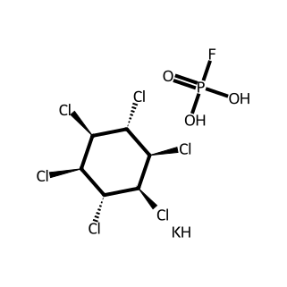 Cl[C@H]1[C@H](Cl)[C@@H](Cl)[C@@H](Cl)[C@H](Cl)[C@H]1Cl.O=P(O)(O)F.[KH]